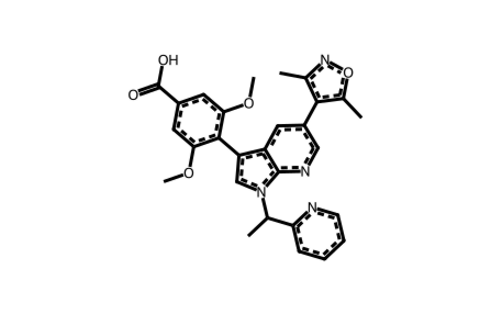 COc1cc(C(=O)O)cc(OC)c1-c1cn(C(C)c2ccccn2)c2ncc(-c3c(C)noc3C)cc12